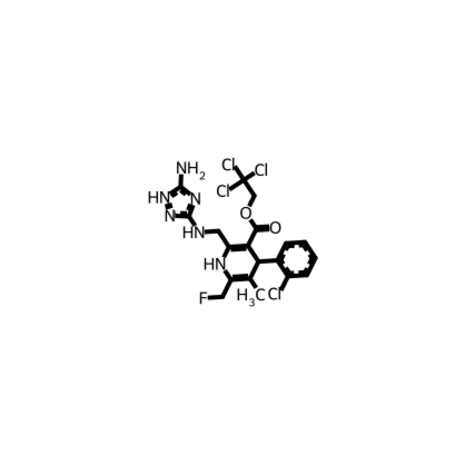 CC1=C(CF)NC(CNc2n[nH]c(N)n2)=C(C(=O)OCC(Cl)(Cl)Cl)C1c1ccccc1Cl